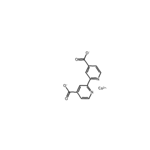 O=C([O-])c1ccnc(-c2cc(C(=O)[O-])ccn2)c1.[Co+2]